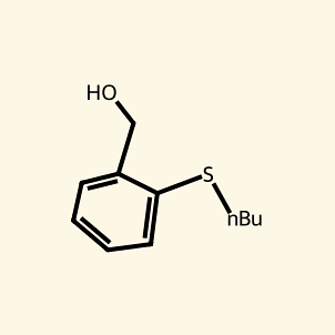 CCCCSc1ccccc1CO